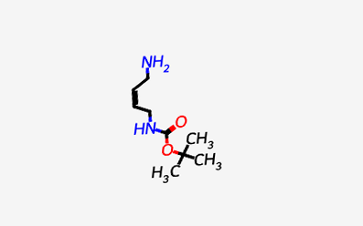 CC(C)(C)OC(=O)NC/C=C\CN